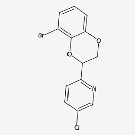 Clc1ccc(C2COc3cccc(Br)c3O2)nc1